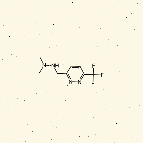 CN(C)NCc1ccc(C(F)(F)F)nn1